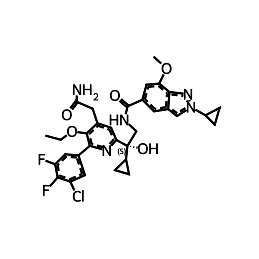 CCOc1c(CC(N)=O)cc([C@@](O)(CNC(=O)c2cc(OC)c3nn(C4CC4)cc3c2)C2CC2)nc1-c1cc(F)c(F)c(Cl)c1